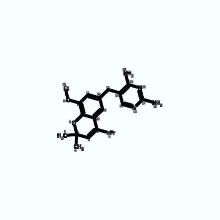 CCCC1=CC(C)(C)Oc2c(OCC)cc(Cc3cnc(N)nc3N)cc21